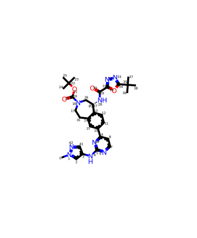 Cn1cc(Nc2nccc(-c3ccc4c(c3)CCN(C(=O)OC(C)(C)C)C[C@@H]4NC(=O)c3nnc(C(C)(C)C)o3)n2)cn1